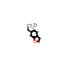 CCOC(=O)Cc1ccc2ccoc2c1